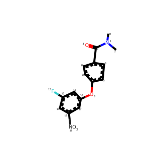 CN(C)C(=O)c1ccc(Oc2cc(F)cc([N+](=O)[O-])c2)cc1